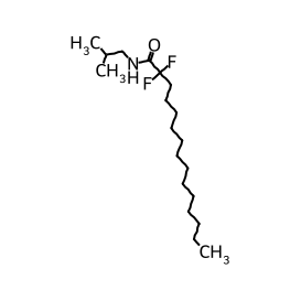 CCCCCCCCCCCCCC(F)(F)C(=O)NCC(C)C